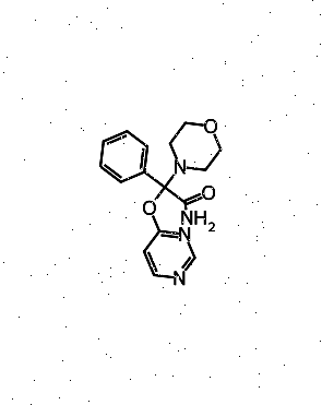 NC(=O)C(Oc1ccncn1)(c1ccccc1)N1CCOCC1